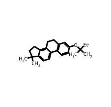 C[CH]C(C)(C)Oc1ccc2c(c1)CCc1c-2ccc2c1CCC2(C)C